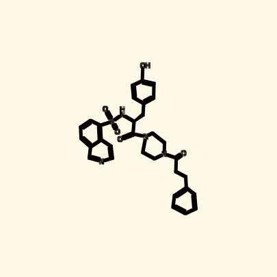 O=C(CCc1ccccc1)N1CCN(C(=O)[C@H](Cc2ccc(O)cc2)NS(=O)(=O)c2cccc3cnccc23)CC1